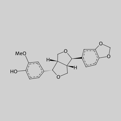 COc1cc([C@H]2OC[C@@H]3[C@H]2CO[C@H]3c2ccc3c(c2)OCO3)ccc1O